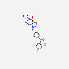 Cn1ncc2c(ccn2Cc2ccc(C(=O)c3ccc(Cl)cc3Cl)cc2)c1=O